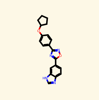 c1nc2ccc(-c3nc(-c4ccc(OC5CCCC5)cc4)no3)cc2[nH]1